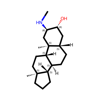 CN[C@@H]1C[C@@]2(C)[C@@H](CC[C@H]3[C@@H]4CCC[C@@]4(C)CC[C@@H]32)C[C@H]1O